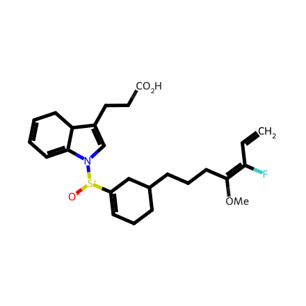 C=C/C(F)=C(\CCCC1CCC=C([S+]([O-])N2C=C(CCC(=O)O)C3CC=CC=C32)C1)OC